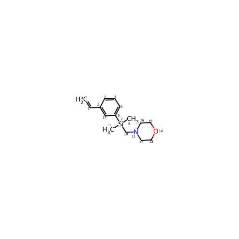 C=Cc1cccc([Si](C)(C)CN2CCOCC2)c1